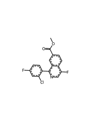 COC(=O)c1ccc2c(F)cnc(-c3ccc(F)cc3Cl)c2c1